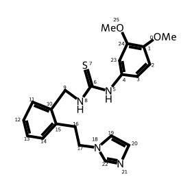 COc1ccc(NC(=S)NCc2ccccc2CCn2ccnc2)cc1OC